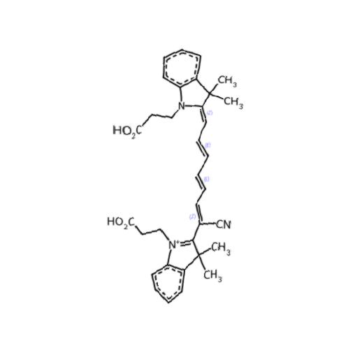 CC1(C)C(/C(C#N)=C/C=C/C=C/C=C2\N(CCC(=O)O)c3ccccc3C2(C)C)=[N+](CCC(=O)O)c2ccccc21